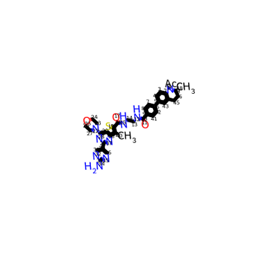 CC(=O)N1c2ccc(-c3ccc(C(=O)NCCNC(=O)c4sc5c(N6CCOCC6)nc(-c6cnc(N)nc6)nc5c4C)cc3)cc2CC[C@@H]1C